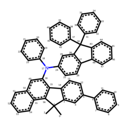 CC1(C)c2cc(-c3ccccc3)ccc2-c2c(N(c3ccccc3)c3ccc4c(c3)C(c3ccccc3)(c3ccccc3)c3ccccc3-4)cc3ccccc3c21